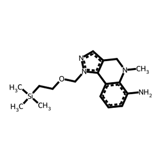 CN1Cc2cnn(COCC[Si](C)(C)C)c2-c2cccc(N)c21